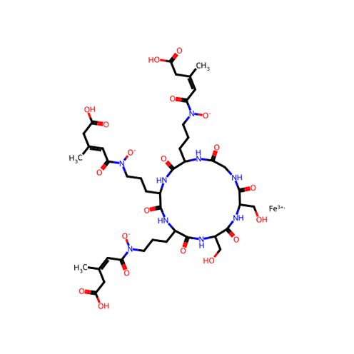 C/C(=C/C(=O)N([O-])CCCC1NC(=O)CNC(=O)C(CO)NC(=O)C(CO)NC(=O)C(CCCN([O-])C(=O)/C=C(/C)CC(=O)O)NC(=O)C(CCCN([O-])C(=O)/C=C(\C)CC(=O)O)NC1=O)CC(=O)O.[Fe+3]